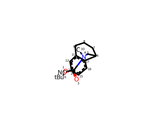 CC(C)(C)OC(=O)N1CC2CCC(C1)c1cc(C#N)ccc12